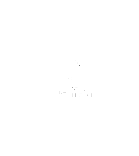 [C-]#[N+]c1ccc2c(c1)[C@H](NC(=O)c1cc3ccccc3[nH]1)C(C)(C)C2